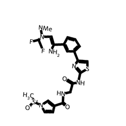 CNN(/C=C(\N)c1cccc(-c2csc(NC(=O)CNC(=O)c3ccn([S+](C)[O-])c3)n2)c1)C(F)F